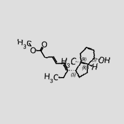 CCC(=CC=CCC(=O)OC)[C@H]1CC[C@H]2[C@@H](O)CCC[C@]12C